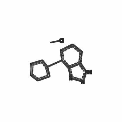 CCl.c1ccc(-c2cccc3[nH]nnc23)cc1